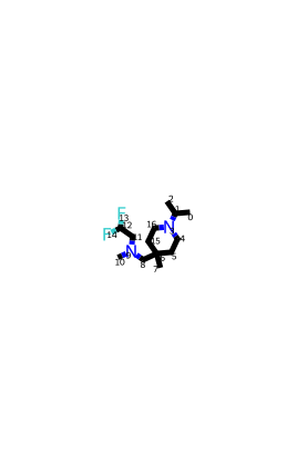 CC(C)N1CCC(C)(CN(C)CC(F)F)CC1